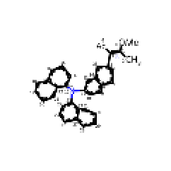 CO/C(C)=C(\C(C)=O)c1ccc2ccc(N(c3cccc4ccccc34)c3cccc4ccccc34)cc2c1